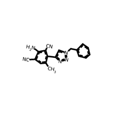 Cc1cc(C#N)c(N)c(C#N)c1-c1cn(Cc2ccccc2)nn1